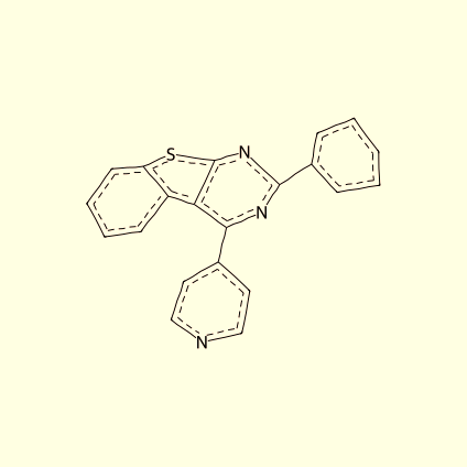 c1ccc(-c2nc(-c3ccncc3)c3c(n2)sc2ccccc23)cc1